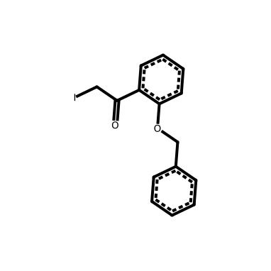 O=C(CI)c1ccccc1OCc1ccccc1